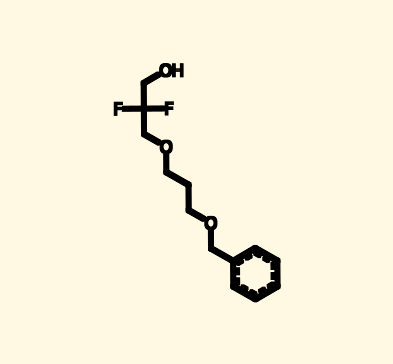 OCC(F)(F)COCCCOCc1ccccc1